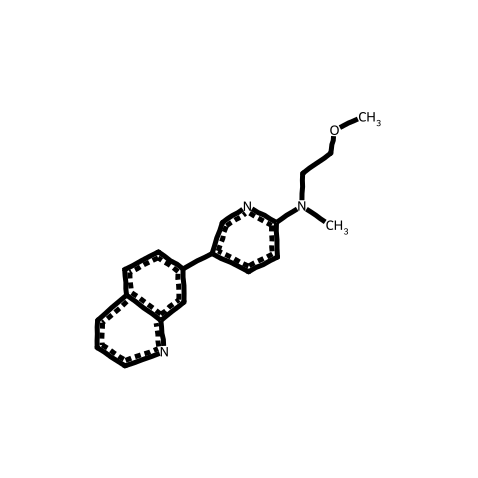 COCCN(C)c1ccc(-c2ccc3cccnc3c2)cn1